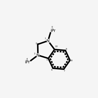 CC(C)N1[C]N(C(C)C)c2ccccc21